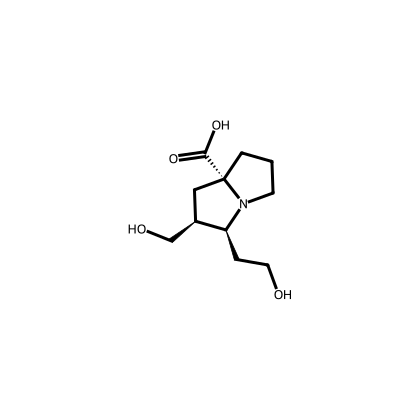 O=C(O)[C@]12CCCN1[C@@H](CCO)[C@@H](CO)C2